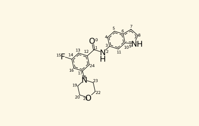 O=C(Nc1ccc2cc[nH]c2c1)c1cc(F)cc(N2CCOCC2)c1